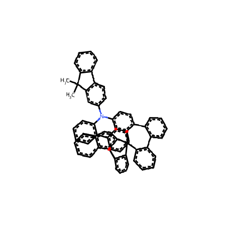 CC1(C)c2ccccc2-c2ccc(N(c3ccc4c(c3)C3(c5ccccc5-c5ccccc5-4)c4ccccc4-c4c3ccc3ccccc43)c3ccccc3-c3ccccc3)cc21